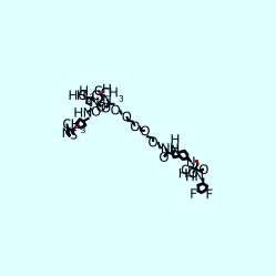 Cc1ncsc1-c1ccc(CNC(=O)[C@@H]2C[C@@H](O)CN2C(=O)[C@@H](NC(=O)COCCOCCOCCOCCOCCNC(=O)c2cc3cc(N4CCC(O)(C(=O)NCc5cc(F)cc(F)c5)C4=O)ccc3[nH]2)C(C)(C)C)cc1